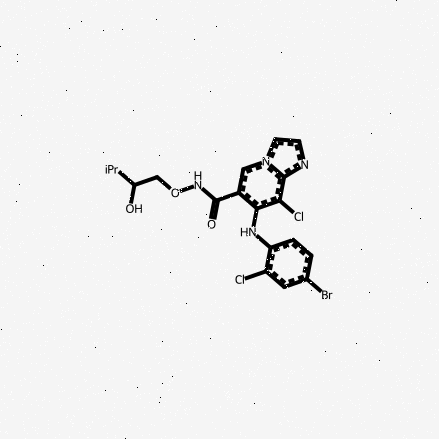 CC(C)C(O)CONC(=O)c1cn2ccnc2c(Cl)c1Nc1ccc(Br)cc1Cl